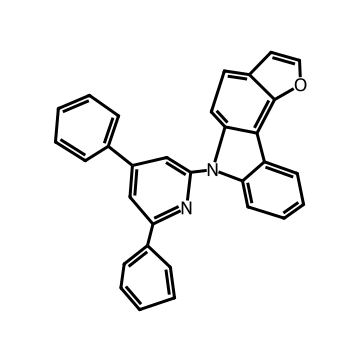 c1ccc(-c2cc(-c3ccccc3)nc(-n3c4ccccc4c4c5occc5ccc43)c2)cc1